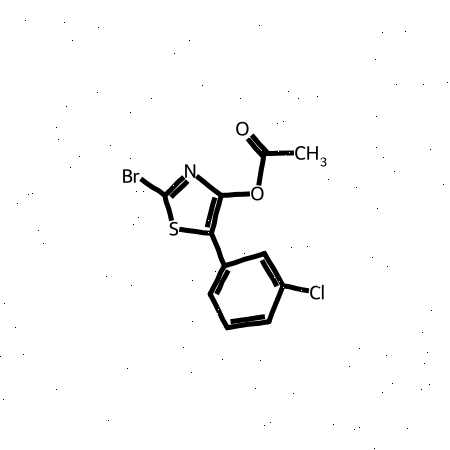 CC(=O)Oc1nc(Br)sc1-c1cccc(Cl)c1